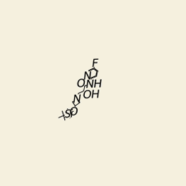 CC(C)(C)[Si](C)(C)OC1CN(CC(O)C(=O)Nc2ccc(F)cn2)C1